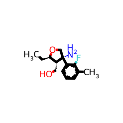 CC[C@H]1OC[C@@](N)(c2cccc(C)c2F)[C@@H]1CO